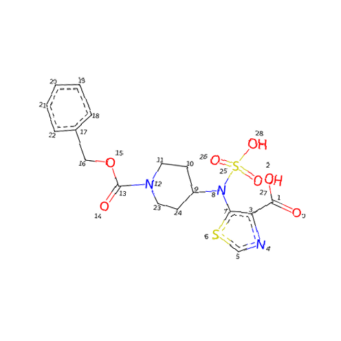 O=C(O)c1ncsc1N(C1CCN(C(=O)OCc2ccccc2)CC1)S(=O)(=O)O